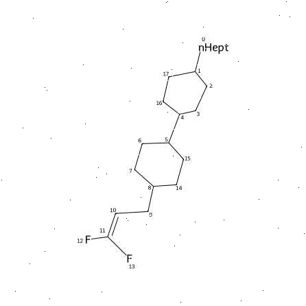 CCCCCCCC1CCC(C2CCC(CC=C(F)F)CC2)CC1